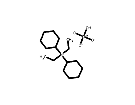 CC[N+](CC)(C1CCCCC1)C1CCCCC1.[O-][Cl+3]([O-])([O-])O